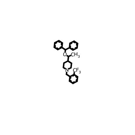 CC(OC(c1ccccc1)c1ccccc1)C1CCN(Cc2ccccc2C(F)(F)F)CC1